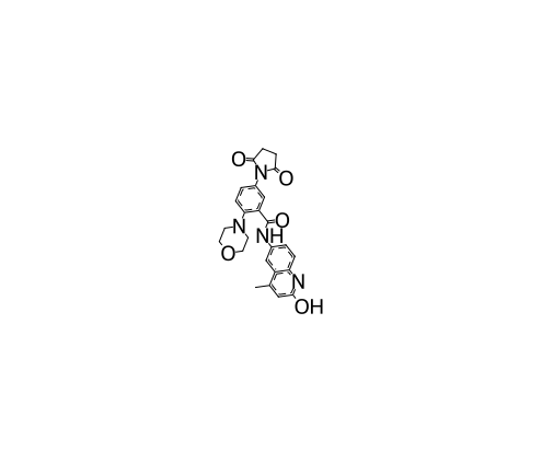 Cc1cc(O)nc2ccc(NC(=O)c3cc(N4C(=O)CCC4=O)ccc3N3CCOCC3)cc12